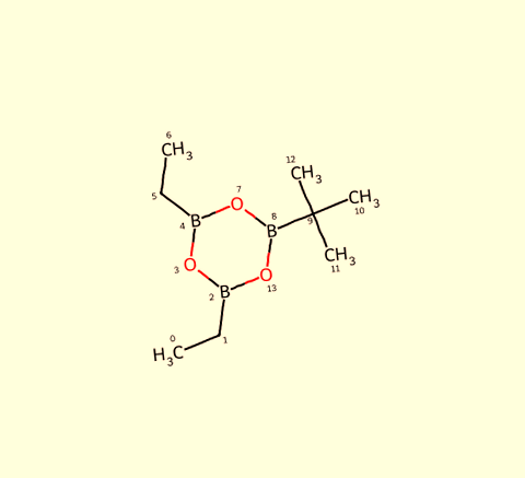 CCB1OB(CC)OB(C(C)(C)C)O1